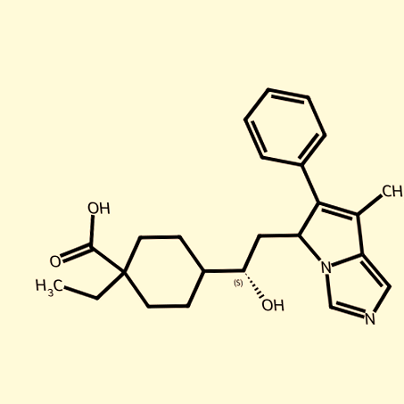 CCC1(C(=O)O)CCC([C@@H](O)CC2C(c3ccccc3)=C(C)c3cncn32)CC1